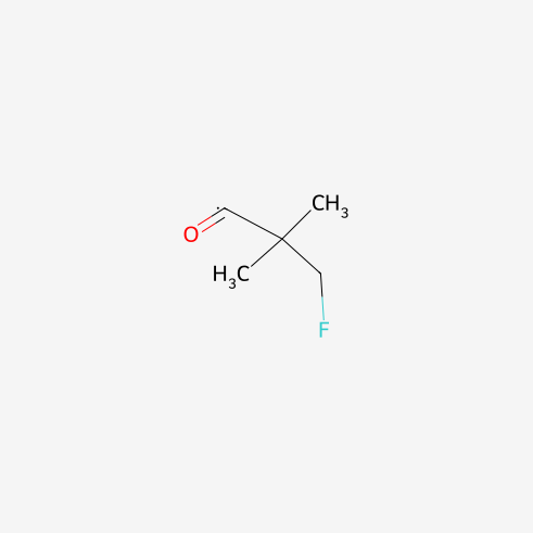 CC(C)([C]=O)CF